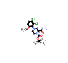 COc1ccc(Cl)c(Cl)c1N1CCN(C(=O)OC(C)(C)C)C(C(N)=O)C1